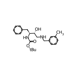 Cc1cccc(CNC[C@@H](O)[C@H](Cc2ccccc2)NC(=O)OC(C)(C)C)c1